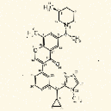 Cc1cc(C(C)N2CCC[C@H](C)C2)cc2c(=O)c(-c3cccc(C(c4nncn4C)C4CC4)c3)coc12